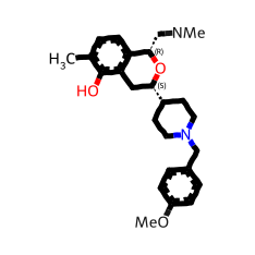 CNC[C@@H]1O[C@H](C2CCN(Cc3ccc(OC)cc3)CC2)Cc2c1ccc(C)c2O